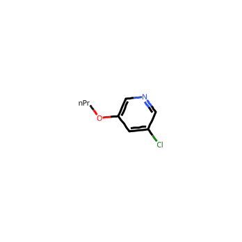 CCCOc1cncc(Cl)c1